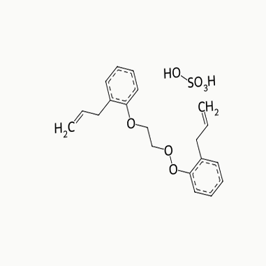 C=CCc1ccccc1OCCOOc1ccccc1CC=C.O=S(=O)(O)O